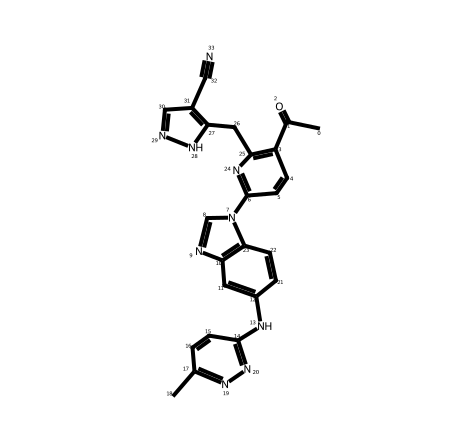 CC(=O)c1ccc(-n2cnc3cc(Nc4ccc(C)nn4)ccc32)nc1Cc1[nH]ncc1C#N